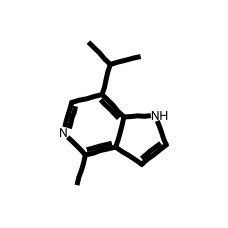 Cc1ncc(C(C)C)c2[nH]ccc12